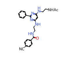 CC(=O)NCCNc1cc(NCCNC(=O)c2ccc(C#N)cc2)nc(-c2ccccc2)n1